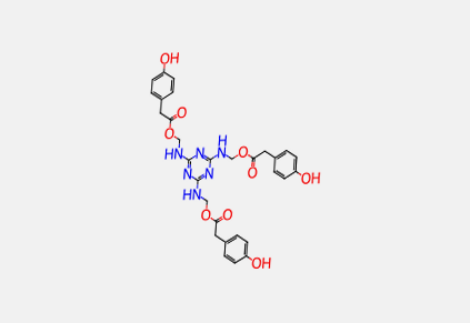 O=C(Cc1ccc(O)cc1)OCNc1nc(NCOC(=O)Cc2ccc(O)cc2)nc(NCOC(=O)Cc2ccc(O)cc2)n1